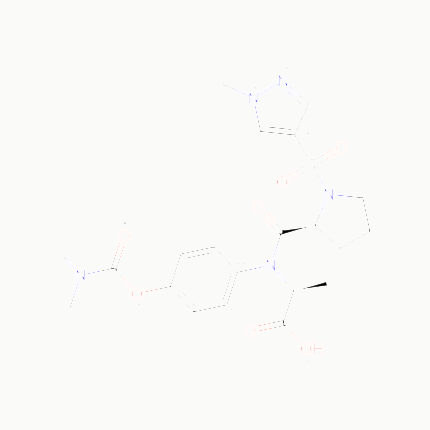 C[C@@H](C(=O)O)N(C(=O)[C@@H]1CCCN1S(=O)(=O)c1cnn(C)c1)c1ccc(OC(=O)N(C)C)cc1